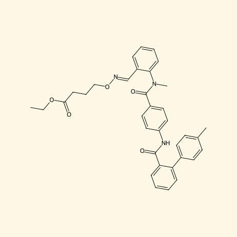 CCOC(=O)CCCO/N=C/c1ccccc1N(C)C(=O)c1ccc(NC(=O)c2ccccc2-c2ccc(C)cc2)cc1